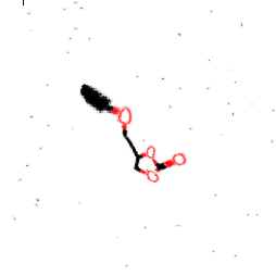 C#COCC1COC(=O)O1